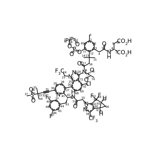 Cc1cc(CC(=O)N[C@@H](CC(=O)O)C(=O)O)c(C(C)(C)CC(=O)N(c2nn(CC(F)(F)F)c3c(-c4ccc(C#CC(C)(C)S(C)(=O)=O)nc4[C@H](Cc4cc(F)cc(F)c4)NC(=O)Cn4nc(C(F)(F)F)c5c4C(F)(F)[C@@H]4C[C@H]54)ccc(Cl)c23)S(C)(=O)=O)c(OP(=O)(OC(C)C)OC(C)C)c1